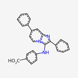 O=C(O)c1ccc(Nc2c(-c3ccccc3)nc3cc(-c4ccccc4)ccn23)cc1